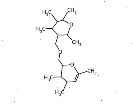 CC1=CC(C)C(C)C(COCC2C(C)OC(C)C(C)C2C)O1